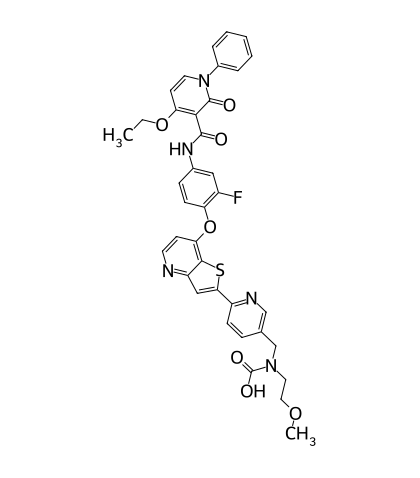 CCOc1ccn(-c2ccccc2)c(=O)c1C(=O)Nc1ccc(Oc2ccnc3cc(-c4ccc(CN(CCOC)C(=O)O)cn4)sc23)c(F)c1